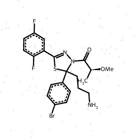 CO[C@@H](C)C(=O)N1N=C(c2cc(F)ccc2F)SC1(CCCN)c1ccc(Br)cc1